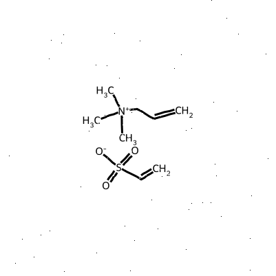 C=CC[N+](C)(C)C.C=CS(=O)(=O)[O-]